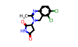 CC1=Nc2ccc(Cl)c(Cl)c2CN1C1CC(=O)NC1=O